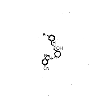 N#Cc1ccc2ncn(C[C@H]3CCC[C@@](O)(CNCc4cccc(Br)c4)C3)c2c1